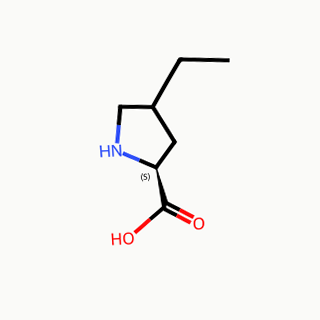 CCC1CN[C@H](C(=O)O)C1